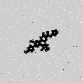 C#N.CC(C)c1nc(N2CCN(C(=O)Cc3cccs3)C(C)C2)c([C@H]2CCCN2C)cc1-c1ccc(C(F)(F)F)cc1